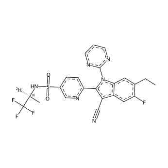 [2H][C@@](C)(NS(=O)(=O)c1ccc(-c2c(C#N)c3cc(F)c(CC)cc3n2-c2ncccn2)nc1)C(F)(F)F